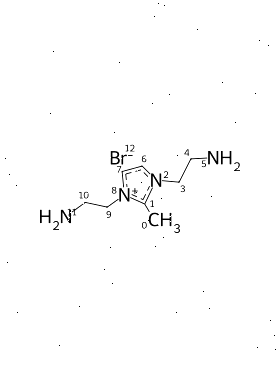 Cc1n(CCN)cc[n+]1CCN.[Br-]